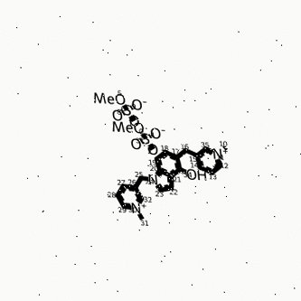 COS(=O)(=O)[O-].COS(=O)(=O)[O-].C[n+]1cccc(Cc2ccc3c(ccn3Cc3ccc[n+](C)c3)c2O)c1